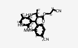 CNc1cc(C#N)ccc1C1C(C(=O)OCCC#N)=C(C)Nc2c(C)c[nH]c(=O)c21